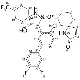 O=C1C=CC2(CCCCC2)N1.O=C1NC2(CCC(C(F)(F)F)CC2)C(O)=C1c1cc(-c2ccc(F)c(F)c2)ccc1Cl